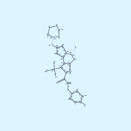 Cc1cnc(CNC(=O)c2oc3c(c2C(F)(F)F)-c2nn(C[C@H]4COCCO4)cc2[C@H](C)C3)cn1